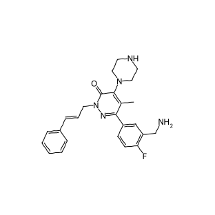 Cc1c(-c2ccc(F)c(CN)c2)nn(CC=Cc2ccccc2)c(=O)c1N1CCNCC1